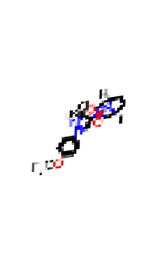 Cc1nn(-c2ccc(OC(F)(F)F)cc2)cc1N1C[C@H]2CC[C@@H](C1)N2C(=O)OC(C)(C)C